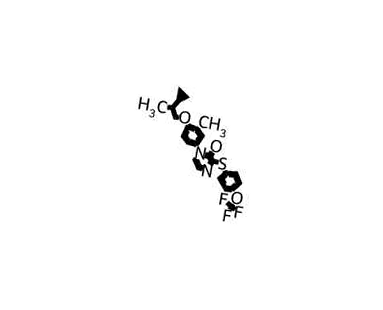 Cc1cc(-n2ccnc(Sc3ccc(OC(F)(F)F)cc3)c2=O)ccc1OCC(C)C1CC1